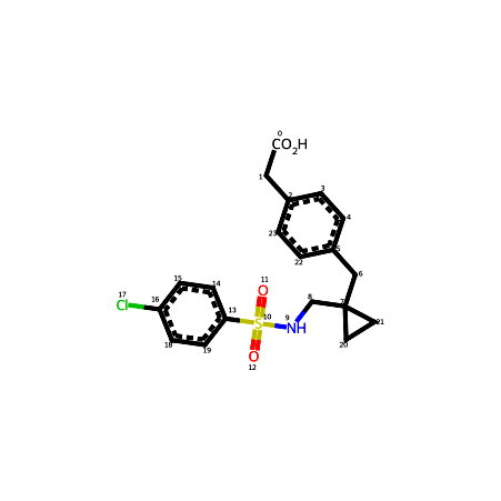 O=C(O)Cc1ccc(CC2(CNS(=O)(=O)c3ccc(Cl)cc3)CC2)cc1